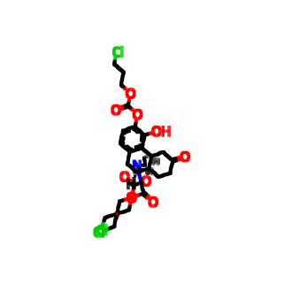 O=C1CC[C@@]2(OC(=O)OCCCCl)[C@H]3Cc4ccc(OC(=O)OCCCCl)c(O)c4[C@@]2(CCN3C(=O)OCCCCl)C1